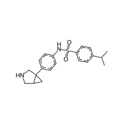 CC(C)c1ccc(S(=O)(=O)Nc2ccc(C34CNCC3C4)cc2)cc1